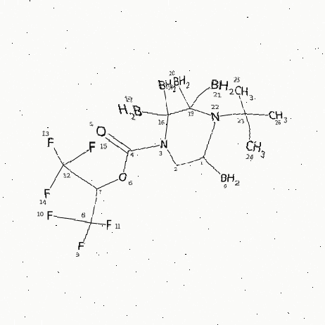 BC1CN(C(=O)OC(C(F)(F)F)C(F)(F)F)C(B)(B)C(B)(B)N1C(C)(C)C